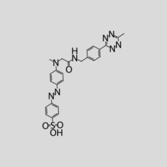 Cc1nnc(-c2ccc(CNC(=O)CN(C)c3ccc(N=Nc4ccc(S(=O)(=O)O)cc4)cc3)cc2)nn1